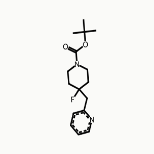 CC(C)(C)OC(=O)N1CCC(F)(Cc2ccccn2)CC1